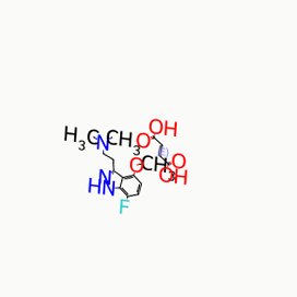 COc1ccc(F)c2[nH]nc(CCN(C)C)c12.O=C(O)/C=C/C(=O)O